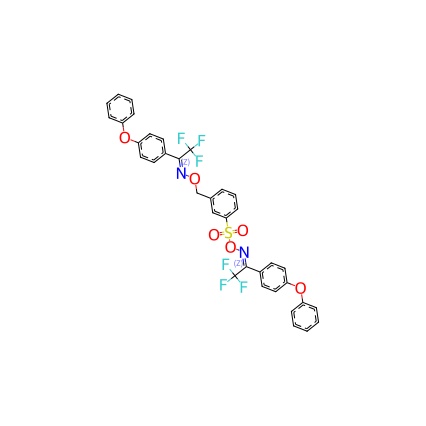 O=S(=O)(O/N=C(/c1ccc(Oc2ccccc2)cc1)C(F)(F)F)c1cccc(CO/N=C(/c2ccc(Oc3ccccc3)cc2)C(F)(F)F)c1